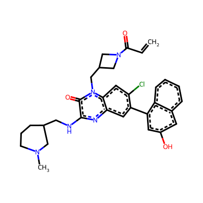 C=CC(=O)N1CC(Cn2c(=O)c(NCC3CCCN(C)C3)nc3cc(-c4cc(O)cc5ccccc45)c(Cl)cc32)C1